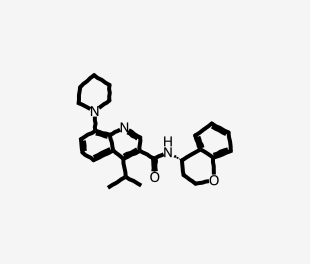 CC(C)c1c(C(=O)N[C@H]2CCOc3ccccc32)cnc2c(N3CCCCC3)cccc12